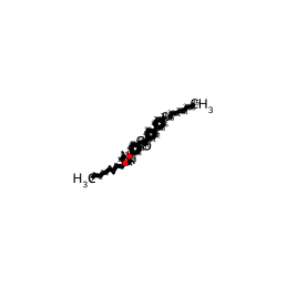 CCCCCCCCCc1cnc(-c2ccc(OC(=O)c3ccc(-c4ccc(SCCCCCCCC)cc4)cc3)cc2)nc1